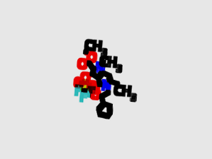 CCOC(=O)c1c(OS(=O)(=O)C(F)(F)F)c2c(=O)n(CC(=O)c3ccccc3)c(CC)cc2n1C